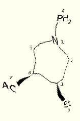 CC[C@@H]1CN(P)C[C@@H]1C(C)=O